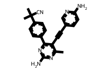 Cc1nc(N)nc(-c2ccc(C(C)(C)C#N)cc2)c1C#Cc1ccc(N)nc1